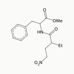 CCC(CC[N+](=O)[O-])C(=O)NC(Cc1ccccc1)C(=O)OC